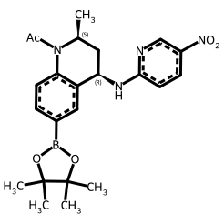 CC(=O)N1c2ccc(B3OC(C)(C)C(C)(C)O3)cc2[C@H](Nc2ccc([N+](=O)[O-])cn2)C[C@@H]1C